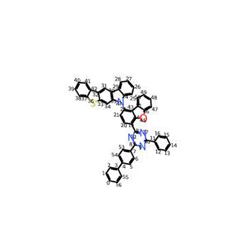 c1ccc(-c2ccc(-c3nc(-c4ccccc4)nc(-c4ccc(-n5c6ccccc6c6cc7c(cc65)sc5ccccc57)c5c4oc4ccccc45)n3)cc2)cc1